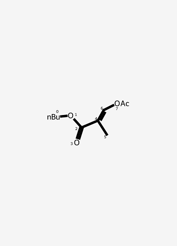 CCCCOC(=O)C(C)=COC(C)=O